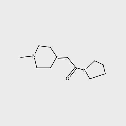 CN1CCC(=CC(=O)N2CCCC2)CC1